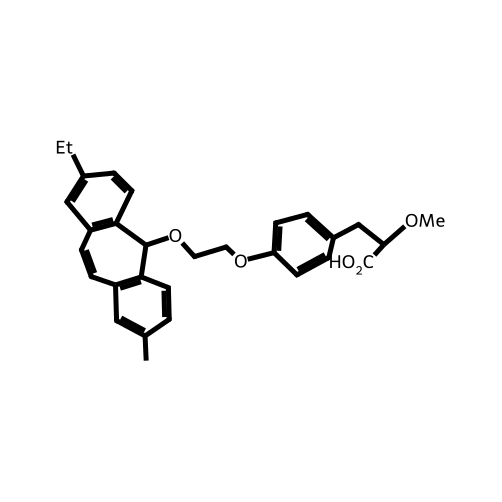 CCc1ccc2c(c1)C=Cc1cc(C)ccc1C2OCCOc1ccc(CC(OC)C(=O)O)cc1